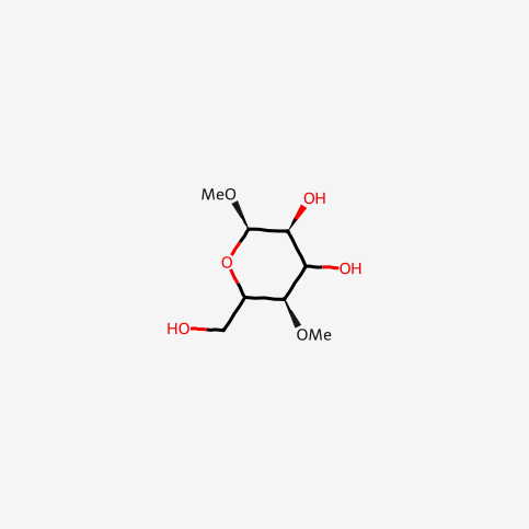 CO[C@H]1C(CO)O[C@@H](OC)[C@@H](O)C1O